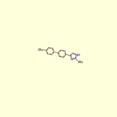 CC(C)(C)c1ccc(-c2ccc(-c3c[nH]c(C(C)(C)C)n3)cc2)cc1